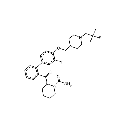 CC(C)(F)CN1CCC(COc2ccc(-c3ccccc3C(=O)N3CCCC[C@H]3C(N)=O)cc2F)CC1